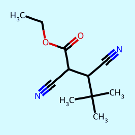 CCOC(=O)C(C#N)C(C#N)C(C)(C)C